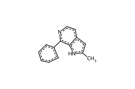 Cc1cc2ccnc(-c3ccccc3)c2[nH]1